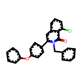 O=c1c2c(Cl)cccc2cc(-c2ccc(Oc3ccccc3)cc2)n1Cc1ccccc1